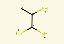 CC(S)C(S)S